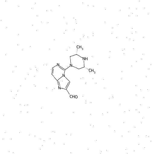 C[C@@H]1CN(c2nccc3nc(C=O)cn23)C[C@H](C)N1